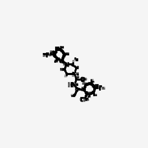 C[C@@H]1CN(C(=O)N[C@H](C)c2ccc(F)cc2Cl)CCN1c1ccnc(F)c1